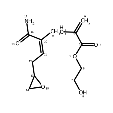 C=C(C)C(=O)OCCO.CC(=CCC1CO1)C(N)=O